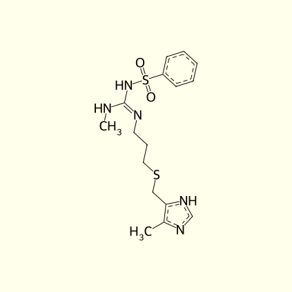 CNC(=NCCCSCc1[nH]cnc1C)NS(=O)(=O)c1ccccc1